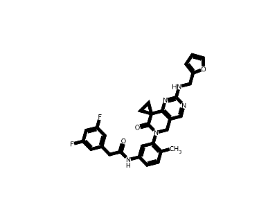 Cc1ccc(NC(=O)Cc2cc(F)cc(F)c2)cc1N1Cc2cnc(NCc3ccco3)nc2C2(CC2)C1=O